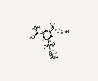 O=C(O)c1cc(C(=O)O)cc(S(=O)(=O)O)c1.[NaH].[NaH].[NaH]